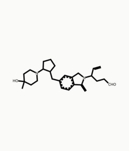 C=CC(CCC=O)N1Cc2cc(CC3CCCC3N3CCC(C)(O)CC3)ccc2C1=C